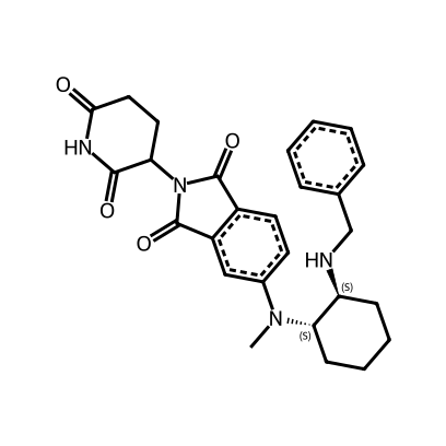 CN(c1ccc2c(c1)C(=O)N(C1CCC(=O)NC1=O)C2=O)[C@H]1CCCC[C@@H]1NCc1ccccc1